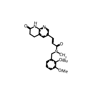 COc1cccc(CN(C)C(=O)C=Cc2cnc3c(c2)CCC(=O)N3)c1OCC(C)C